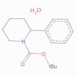 CC(C)(C)OC(=O)N1CCCCC1c1ccccc1.O